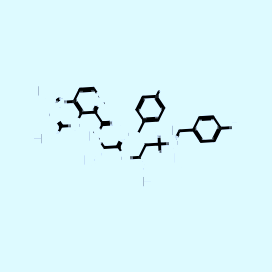 COc1ccnc(C(=O)N[C@@H](C)C(=O)O[C@@H](C)[C@H](Cc2ccc(F)cc2)C(C)(C)OCc2ccc(F)cc2)c1OC(C)=O